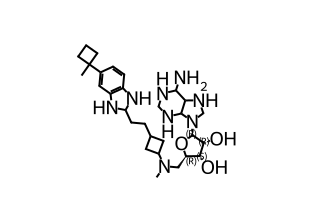 CN(C[C@H]1O[C@@H](N2CNC3C(N)NCNC32)[C@H](O)[C@@H]1O)C1CC(CCC2Nc3ccc(C4(C)CCC4)cc3N2)C1